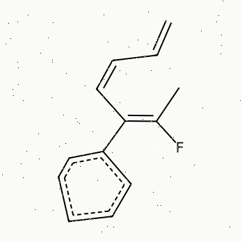 C=C/C=C\C(=C(/C)F)c1ccccc1